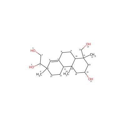 CC1(C(O)CO)C=C2CCC3C(C)(CO)CC(O)CC3(C)C2CC1